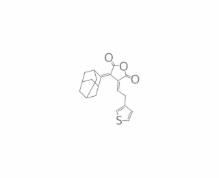 O=C1OC(=O)C(=C2C3CC4CC(C3)CC2C4)C1=CCc1ccsc1